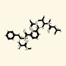 COC(=O)[C@@H](C)C[C@H](Cc1ccccc1)NC(=O)c1cccc([C@@H](CC(C(C)C)N(C)C(=O)CC(C)C)OC(C)=O)n1